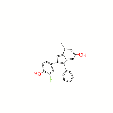 CC1C=C(O)C=C2C1=CC(c1ccc(O)c(F)c1)=C2c1ccccc1